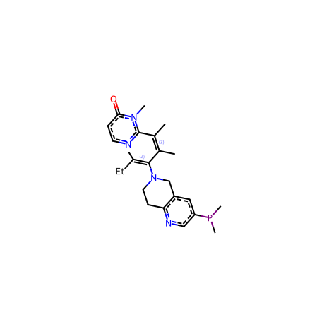 CC/C(C)=C(/C(C)=C(/C)c1nccc(=O)n1C)N1CCc2ncc(P(C)C)cc2C1